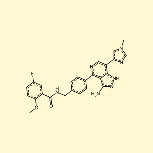 COc1ccc(F)cc1C(=O)NCc1ccc(-c2ncc(-c3cn(C)cn3)c3[nH]nc(N)c23)cc1